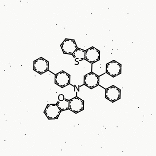 c1ccc(-c2ccc(N(c3cc(-c4ccccc4)c(-c4ccccc4)c(-c4cccc5c4sc4ccccc45)c3)c3cccc4c3oc3ccccc34)cc2)cc1